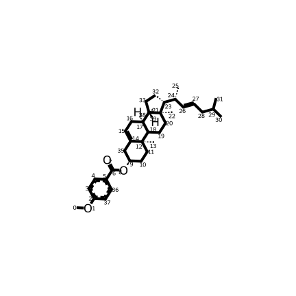 COc1ccc(C(=O)O[C@H]2CC[C@@]3(C)C(=CC[C@@H]4C3CC[C@]3(C)[C@@H]([C@H](C)/C=C/CC(C)C)CC[C@@H]43)C2)cc1